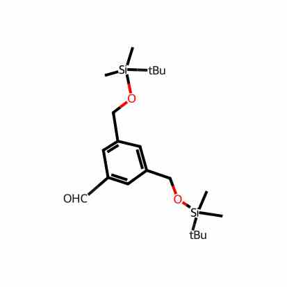 CC(C)(C)[Si](C)(C)OCc1cc(C=O)cc(CO[Si](C)(C)C(C)(C)C)c1